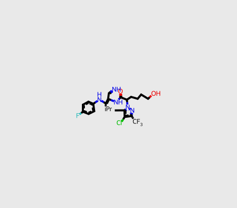 Cc1c(Cl)c(C(F)(F)F)nn1C(CCCCO)C(=O)N/C(C=N)=C(/Nc1ccc(F)cc1)C(C)C